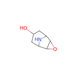 OC1CC2NC(C1)C1OC21